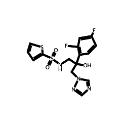 O=S(=O)(NCC(O)(Cn1cncn1)c1ccc(F)cc1F)c1cccs1